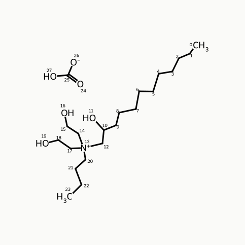 CCCCCCCCCCC(O)C[N+](CCO)(CCO)CCCC.O=C([O-])O